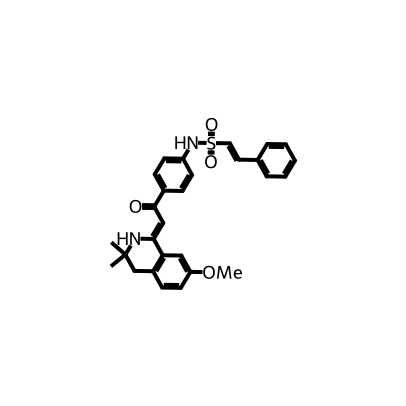 COc1ccc2c(c1)C(=CC(=O)c1ccc(NS(=O)(=O)C=Cc3ccccc3)cc1)NC(C)(C)C2